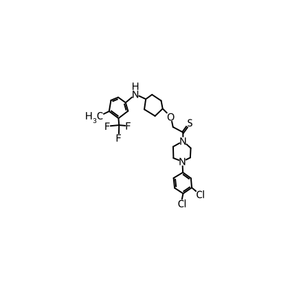 Cc1ccc(NC2CCC(OCC(=S)N3CCN(c4ccc(Cl)c(Cl)c4)CC3)CC2)cc1C(F)(F)F